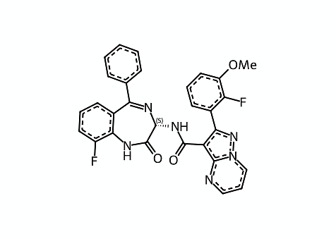 COc1cccc(-c2nn3cccnc3c2C(=O)N[C@H]2N=C(c3ccccc3)c3cccc(F)c3NC2=O)c1F